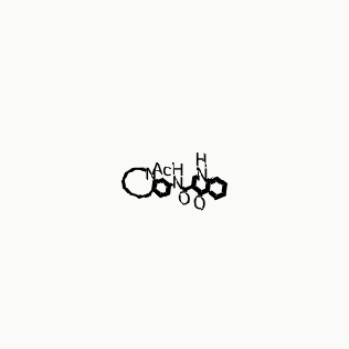 CC(=O)N1CCCCCCCCc2ccc(NC(=O)c3c[nH]c4ccccc4c3=O)cc21